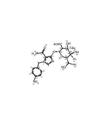 CC(=O)N[C@@H]1[C@H](Oc2ncn(Cc3ccc([N+](=O)[O-])cc3)c2C(N)=O)O[C@H](C(O)C(C)=O)[C@](O)(C(C)=O)[C@@]1(O)C(C)=O